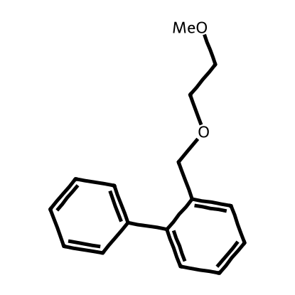 COCCOCc1ccccc1-c1ccccc1